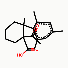 CC(=O)C1(C(=O)O)CCCCC1(C)c1c(C)cc(C)cc1C